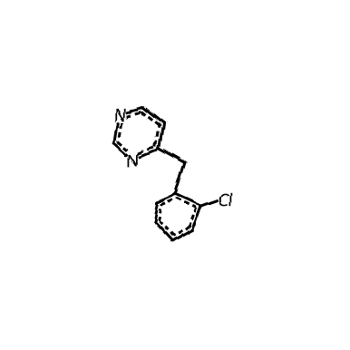 Clc1ccccc1Cc1ccncn1